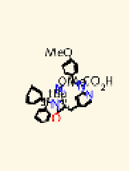 CO/N=C/[C@@H]1[C@@H](Cc2ccnc(N(Cc3ccc(OC)cc3)C(=O)O)c2)C(=O)N1[Si](c1ccccc1)(c1ccccc1)C(C)(C)C